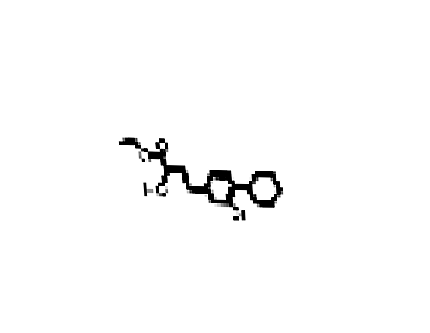 CCOC(=O)C(O)CCc1ccc(C2CCCCC2)c(Br)c1